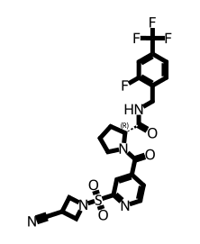 N#CC1CN(S(=O)(=O)c2cc(C(=O)N3CCC[C@@H]3C(=O)NCc3ccc(C(F)(F)F)cc3F)ccn2)C1